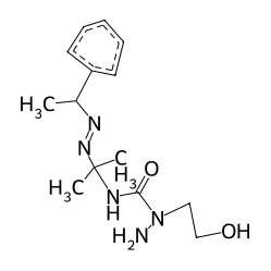 CC(/N=N/C(C)(C)NC(=O)N(N)CCO)c1ccccc1